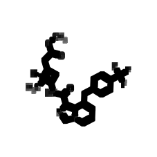 COC(=O)CC12CC(NC(=O)c3ncn4cccc(Cc5ccc(C(F)(F)F)cc5)c34)(C1)[C@H]2C